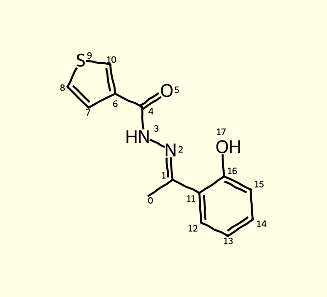 C/C(=N\NC(=O)c1ccsc1)c1ccccc1O